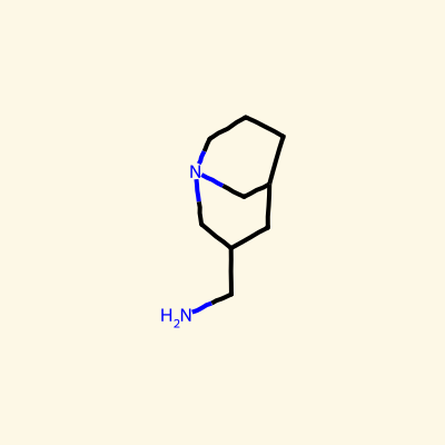 NCC1CC2CCCN(C1)C2